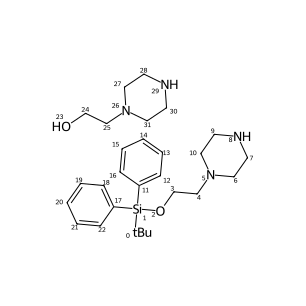 CC(C)(C)[Si](OCCN1CCNCC1)(c1ccccc1)c1ccccc1.OCCN1CCNCC1